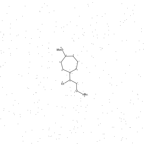 CCCCOCC(CC)C1CCCC(OC)CC1